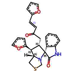 O=C(/C=C/c1ccco1)C[C@H]1[C@H](c2ccco2)[C@H]2CSCN2[C@]12C(=O)Nc1ccccc12